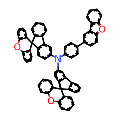 c1ccc2c(c1)Oc1ccccc1C21c2ccccc2-c2cc(N(c3ccc(-c4ccc5oc6ccccc6c5c4)cc3)c3ccc4c(c3)-c3ccccc3C43c4ccccc4Oc4ccccc43)ccc21